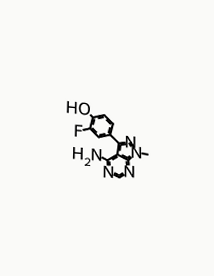 Cn1nc(-c2ccc(O)c(F)c2)c2c(N)ncnc21